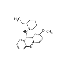 CCC1CCCCN1Nc1c2ccccc2nc2ccc(OC)cc12